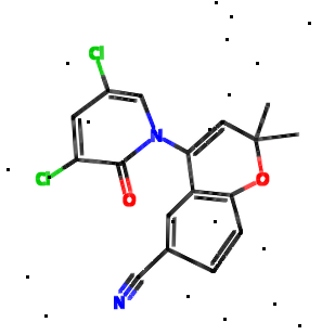 CC1(C)C=C(n2cc(Cl)cc(Cl)c2=O)c2cc(C#N)ccc2O1